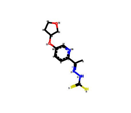 C/C(=N\NC(=S)S)c1ccc(OC2CCOC2)cn1